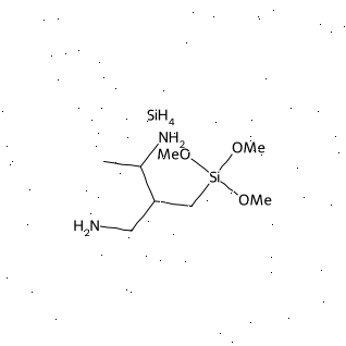 CO[Si](CC(CN)C(C)N)(OC)OC.[SiH4]